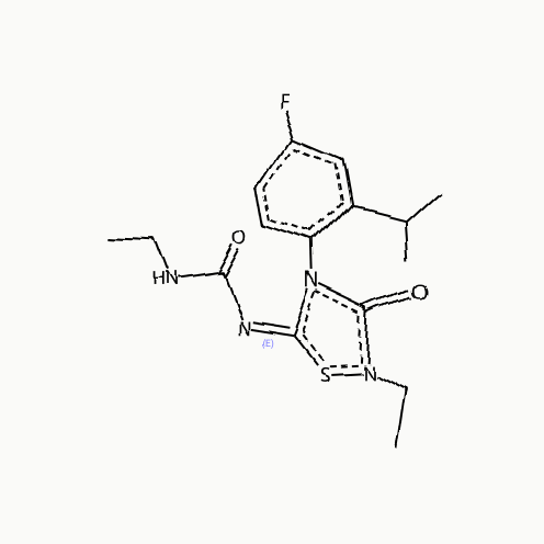 CCNC(=O)/N=c1/sn(CC)c(=O)n1-c1ccc(F)cc1C(C)C